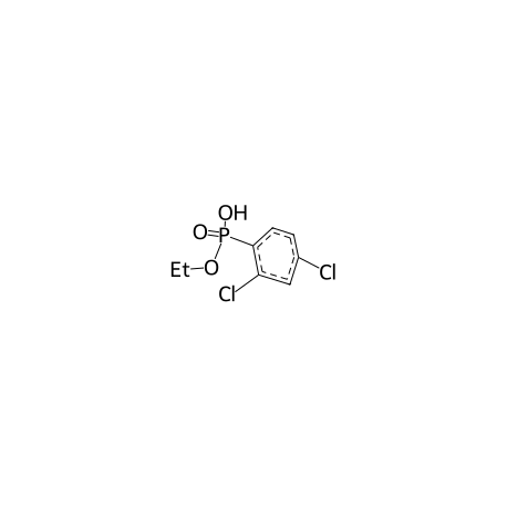 CCOP(=O)(O)c1ccc(Cl)cc1Cl